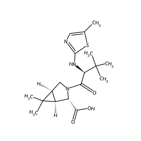 Cc1cnc(N[C@H](C(=O)N2C[C@H]3[C@@H]([C@H]2C(=O)O)C3(C)C)C(C)(C)C)s1